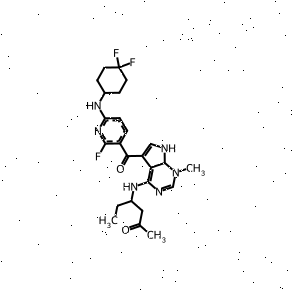 CCC(CC(C)=O)NC1=C2C(C(=O)c3ccc(NC4CCC(F)(F)CC4)nc3F)=CNC2N(C)C=N1